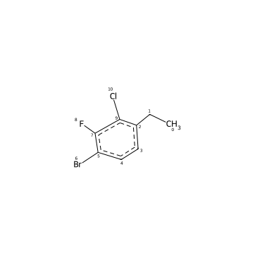 CCc1ccc(Br)c(F)c1Cl